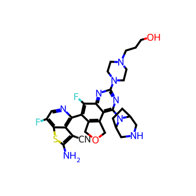 N#Cc1c(N)sc2c(F)cnc(-c3c4c(c5c(N6C7CCC6CNC7)nc(N6CCN(CCCO)CC6)nc5c3F)COC4)c12